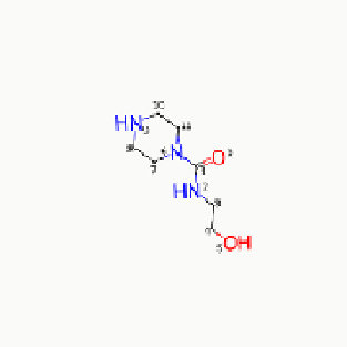 O=C(NCCO)N1CCNCC1